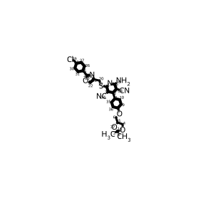 CC1(C)OCC(COc2ccc(-c3c(C#N)c(N)nc(SCc4coc(-c5ccc(Cl)cc5)n4)c3C#N)cc2)O1